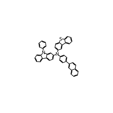 c1ccc(-n2c3ccccc3c3ccc(N(c4ccc(-c5ccc6ccccc6c5)cc4)c4ccc5sc6ccccc6c5c4)cc32)cc1